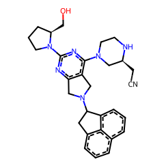 N#CC[C@H]1CN(c2nc(N3CCC[C@H]3CO)nc3c2CN(C2Cc4cccc5cccc2c45)C3)CCN1